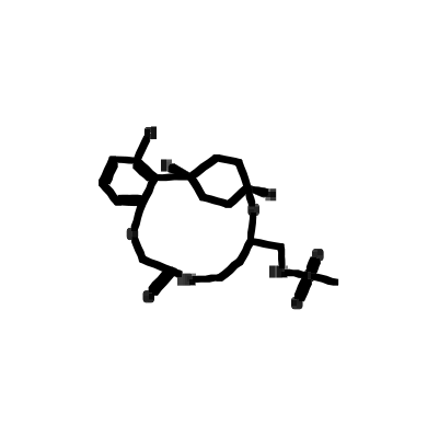 CS(=O)(=O)NCC1CCNC(=O)COc2cccc(Cl)c2[C@H]2CC[C@H](CC2)O1